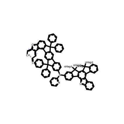 C=C/C=c1\c(=C/C)oc2ccc3c(c12)-c1cc2c(cc1C3(c1ccccc1)c1ccccc1)-c1ccc(N(c3ccc4c(c3)C(CCCCCCC)(CCCCCCC)c3c5c(c6c(oc7ccccc76)c3-4)-c3ccccc3C5(CCCCCCC)CCCCCCC)c3ccccn3)cc1C2(c1ccccc1)c1ccccc1